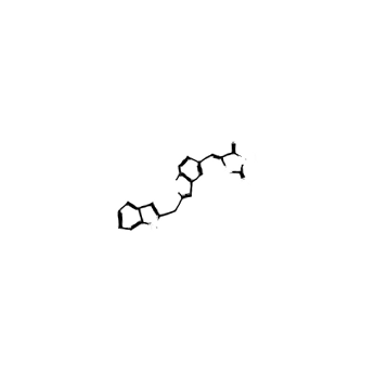 O=C1NC(=O)C(=Cc2ccc3oc(Cc4cc5ccccc5[nH]4)cc3c2)S1